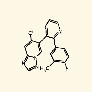 Cc1cc(-c2ncccc2-c2cn3ncnc3cc2Cl)ccc1F